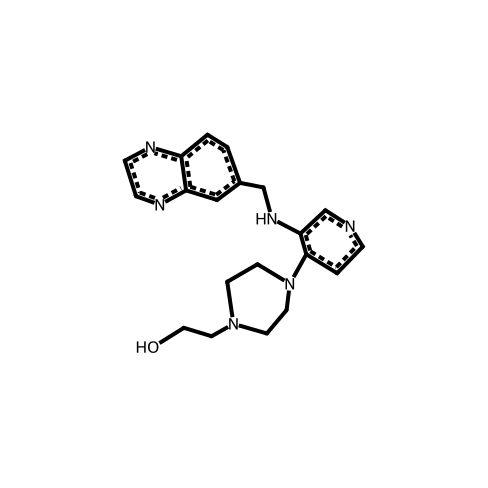 OCCN1CCN(c2ccncc2NCc2ccc3nccnc3c2)CC1